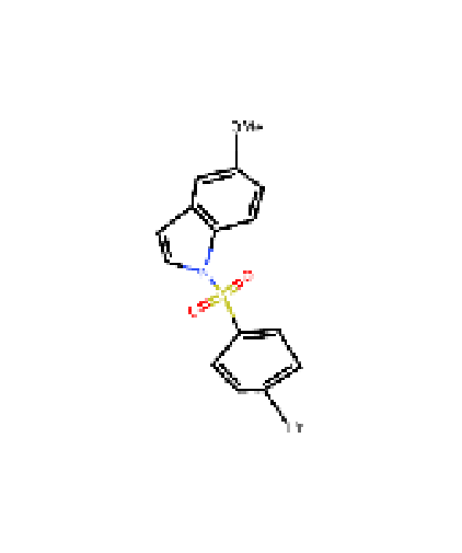 COc1ccc2c(ccn2S(=O)(=O)c2ccc(C(C)C)cc2)c1